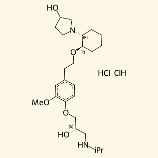 COc1cc(CCO[C@@H]2CCCC[C@H]2N2CCC(O)C2)ccc1OC[C@@H](O)CNC(C)C.Cl.Cl